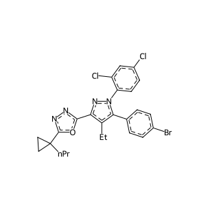 CCCC1(c2nnc(-c3nn(-c4ccc(Cl)cc4Cl)c(-c4ccc(Br)cc4)c3CC)o2)CC1